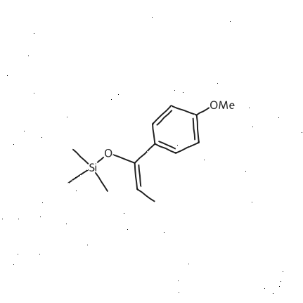 C/C=C(/O[Si](C)(C)C)c1ccc(OC)cc1